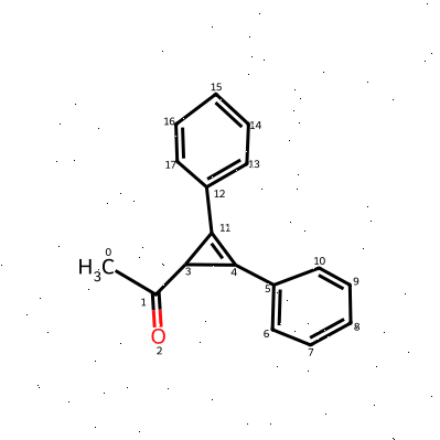 CC(=O)C1C(c2ccccc2)=C1c1ccccc1